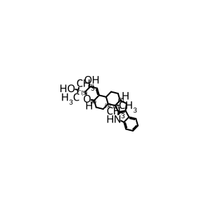 CC(C)(O)[C@H]1O[C@H]2CC[C@@]3(C)C(CC[C@H]4Cc5c([nH]c6ccccc56)[C@@]43C)C2=C[C@H]1O